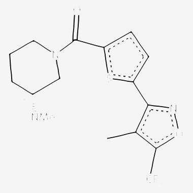 CN[C@@H]1CCCN(C(=O)c2ccc(-c3noc(C(F)(F)F)c3C)s2)C1